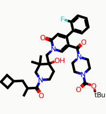 CC(CC1CCC1)C(=O)N1CCC(O)(Cn2cc(C(=O)N3CCN(C(=O)OC(C)(C)C)CC3)c(-c3ccccc3F)cc2=O)C(C)(C)C1